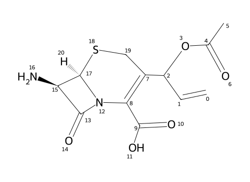 C=CC(OC(C)=O)C1=C(C(=O)O)N2C(=O)[C@@H](N)[C@H]2SC1